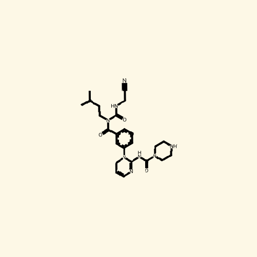 CC(C)CCN(C(=O)NCC#N)C(=O)c1cccc(N2CC=CN=C2NC(=O)N2CCNCC2)c1